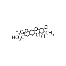 Cc1c(Cl)cc(Oc2cc3c(cc2Cl)C=C(C(=O)O)[C@H](C(F)(F)F)O3)cc1Cl